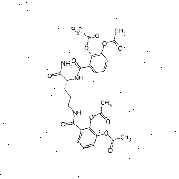 CC(=O)Oc1cccc(C(=O)NCCC[C@@H](NC(=O)c2cccc(OC(C)=O)c2OC(C)=O)C(N)=O)c1OC(C)=O